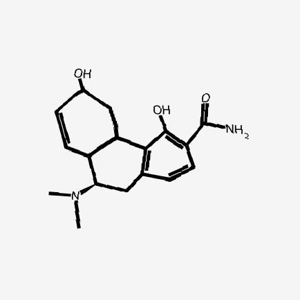 CN(C)[C@@H]1Cc2ccc(C(N)=O)c(O)c2C2CC(O)C=CC21